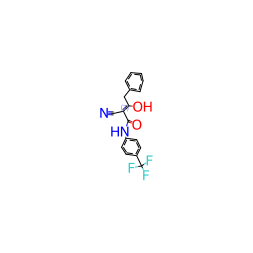 N#C/C(C(=O)Nc1ccc(C(F)(F)F)cc1)=C(/O)Cc1ccccc1